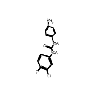 Nc1ccc(NC(=O)Nc2ccc(F)c(Cl)c2)cc1